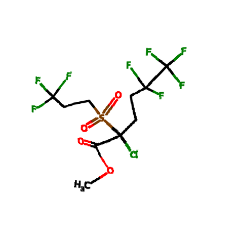 COC(=O)C(Cl)(CCC(F)(F)C(F)(F)F)S(=O)(=O)CCC(F)(F)F